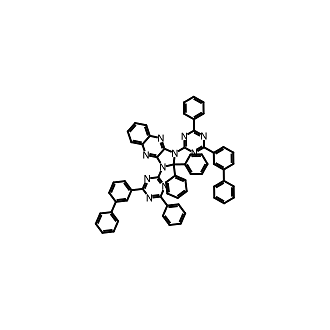 c1ccc(-c2cccc(-c3nc(-c4ccccc4)nc(N4c5nc6ccccc6nc5N(c5nc(-c6ccccc6)nc(-c6cccc(-c7ccccc7)c6)n5)C4(c4ccccc4)c4ccccc4)n3)c2)cc1